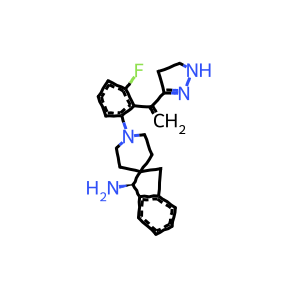 C=C(C1=NNCC1)c1c(F)cccc1N1CCC2(CC1)Cc1ccccc1[C@H]2N